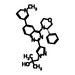 CN1C=C(c2ccc3nc(-c4cnn(CC(C)(C)O)c4)nc(N4CCOC[C@@H]4c4ccccc4)c3c2)C=CC1